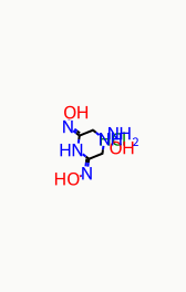 Cl.NO.ON=C1CNCC(=NO)N1